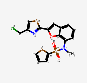 CN(c1cccc2cc(-c3nc(CCl)cs3)oc12)S(=O)(=O)c1cccs1